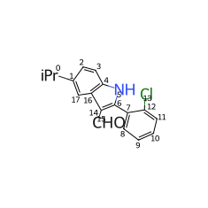 CC(C)c1ccc2[nH]c(-c3ccccc3Cl)c(C=O)c2c1